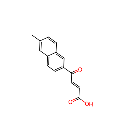 Cc1ccc2cc(C(=O)C=CC(=O)O)ccc2c1